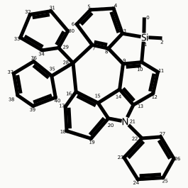 C[Si]1(C)c2cccc3c2-c2c1ccc1c2c2c(cccc2n1-c1ccccc1)C3(c1ccccc1)c1ccccc1